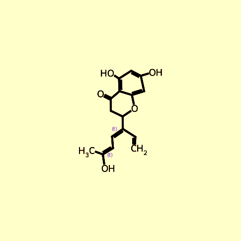 C=C/C(=C\C=C(/C)O)C1CC(=O)c2c(O)cc(O)cc2O1